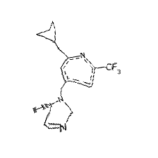 FC(F)(F)c1cc(N2CN=CN2)cc(C2CC2)n1